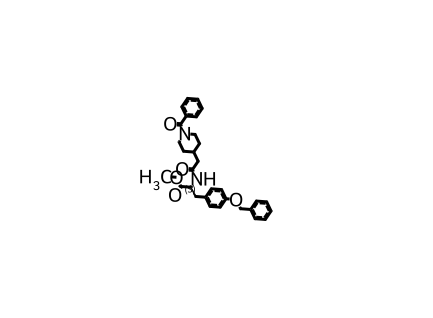 COC(=O)[C@H](Cc1ccc(OCc2ccccc2)cc1)NC(=O)CC1CCN(C(=O)c2ccccc2)CC1